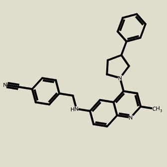 Cc1cc(N2CCC(c3ccccc3)C2)c2cc(NCc3ccc(C#N)cc3)ccc2n1